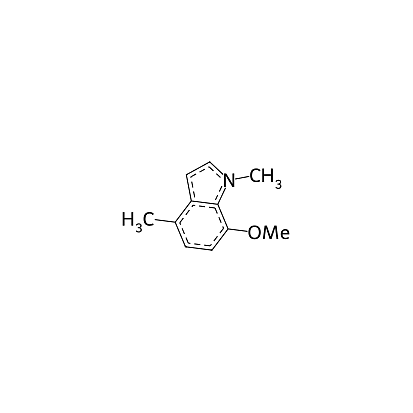 COc1ccc(C)c2ccn(C)c12